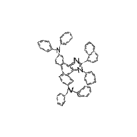 c1ccc(N(c2ccccc2)c2ccc3c4ccc(N(c5ccccc5)c5ccccc5)cc4c4c(nc(-c5cccc6ccccc56)n4-c4ccccc4)c3c2)cc1